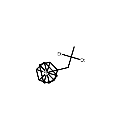 CCC(C)(CC)C[C]12[CH]3[CH]4[CH]5[CH]1[Fe]45321678[CH]2[CH]1[CH]6[CH]7[CH]28